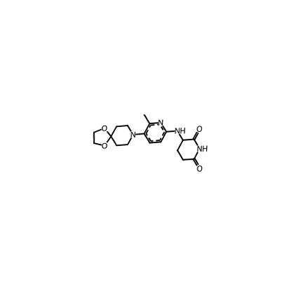 Cc1nc(NC2CCC(=O)NC2=O)ccc1N1CCC2(CC1)OCCO2